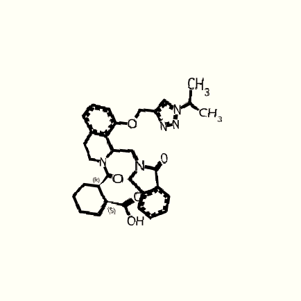 CC(C)n1cc(COc2cccc3c2C(CN2Cc4ccccc4C2=O)N(C(=O)[C@@H]2CCCC[C@@H]2C(=O)O)CC3)nn1